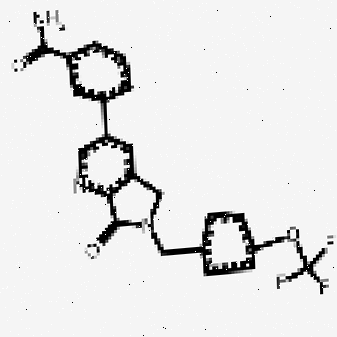 NC(=O)c1cccc(-c2cnc3c(c2)CN(Cc2ccc(OC(F)(F)F)cc2)C3=O)c1